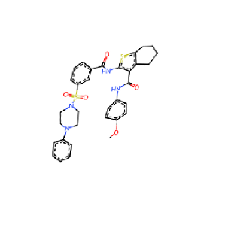 COc1ccc(NC(=O)c2c(NC(=O)c3cccc(S(=O)(=O)N4CCN(c5ccccc5)CC4)c3)sc3c2CCCC3)cc1